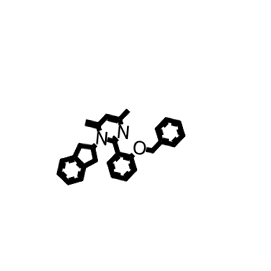 C=C1C=C(C)N=C(c2ccccc2OCc2ccccc2)N1C1Cc2ccccc2C1